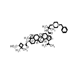 C=C(C)[C@@H]1CC[C@]2(C(=O)NC(C)(C)CN3CCN(Cc4ccccc4)CC3)CC[C@]3(C)[C@H](CC[C@@H]4[C@@]5(C)CC[C@H](OC(=O)[C@H]6C[C@@H](C(=O)O)C6(C)C)C(C)(C)[C@@H]5CC[C@]43C)[C@@]12C